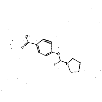 O=C(O)c1ccc(OC(F)N2CCCC2)cc1